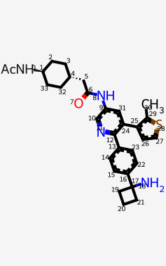 CC(=O)N[C@H]1CC[C@H](CC(=O)Nc2cnc(-c3ccc(C4(N)CCC4)cc3)c(-c3ccsc3C)c2)CC1